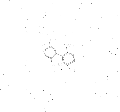 CCOC(=O)c1cnc(Cl)cc1-c1cc(C#N)ccc1OC